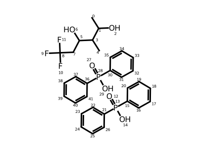 CC(O)C(C)C(O)CC(F)(F)F.O=P(O)(c1ccccc1)c1ccccc1.O=P(O)(c1ccccc1)c1ccccc1